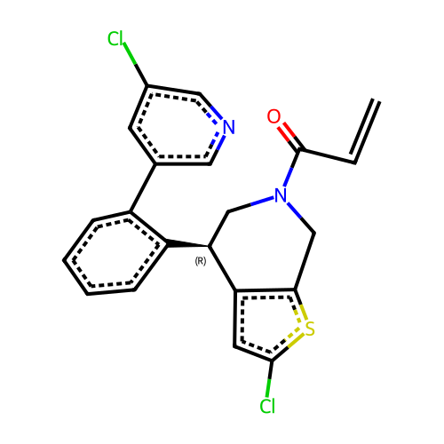 C=CC(=O)N1Cc2sc(Cl)cc2[C@@H](c2ccccc2-c2cncc(Cl)c2)C1